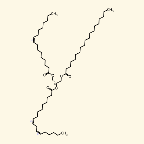 CCCCC/C=C\C/C=C\CCCCCCCC(=O)O[C@H](COC(=O)CCCCCCC/C=C\CCCCCCC)COC(=O)CCCCCCCCCCCCCCCCCC